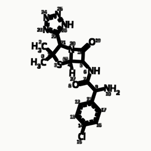 CC1(C)S[C@H]2C(NC(=O)C(N)c3ccc(Cl)cc3)C(=O)N2C1c1nnn[nH]1